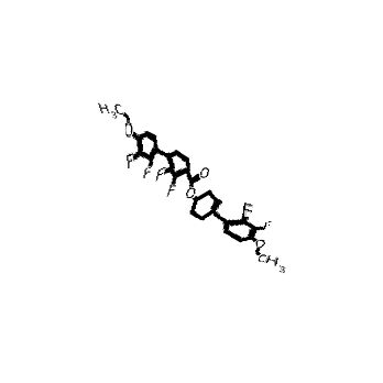 CCOc1ccc(C2=CCC(OC(=O)c3ccc(-c4ccc(OCC)c(F)c4F)c(F)c3F)CC2)c(F)c1F